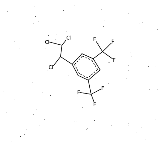 FC(F)(F)c1cc(C(Cl)C(Cl)Cl)cc(C(F)(F)F)c1